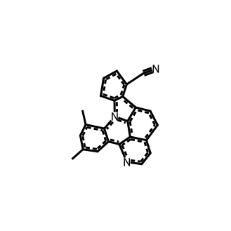 Cc1cc(C)c2c(c1)c1nccc3ccc4c5c(C#N)cccc5n2c4c31